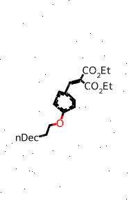 CCCCCCCCCCCCOc1ccc(C=C(C(=O)OCC)C(=O)OCC)cc1